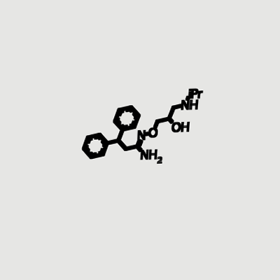 CC(C)NCC(O)CON=C(N)CC(c1ccccc1)c1ccccc1